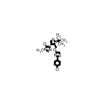 Cn1nnn(-c2cnn(C(C)(C)C)c2COc2csc(-c3ccc(Cl)cc3)n2)c1=O